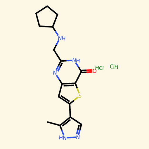 Cc1[nH]ncc1-c1cc2nc(CNC3CCCC3)[nH]c(=O)c2s1.Cl.Cl